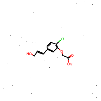 O=C(O)COc1cc(C=CCO)ccc1Cl